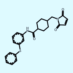 O=C(Nc1cccc(Sc2ccccc2)c1)C1CCC(CN2C(=O)C=CC2=O)CC1